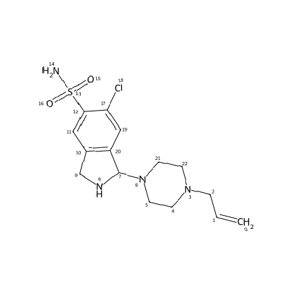 C=CCN1CCN(C2NCc3cc(S(N)(=O)=O)c(Cl)cc32)CC1